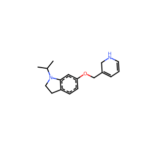 CC(C)N1CCc2ccc(OCC3=CC=CNC3)cc21